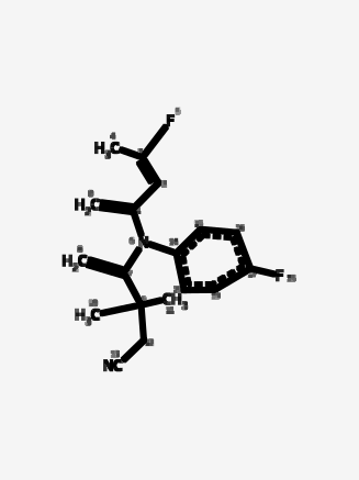 C=C(/C=C(\C)F)N(C(=C)C(C)(C)CC#N)c1ccc(F)cc1